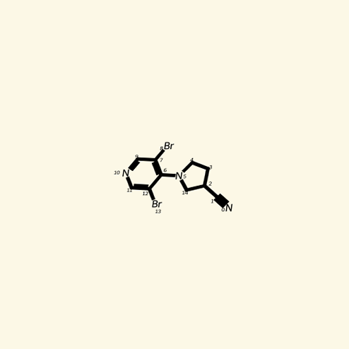 N#CC1CCN(c2c(Br)cncc2Br)C1